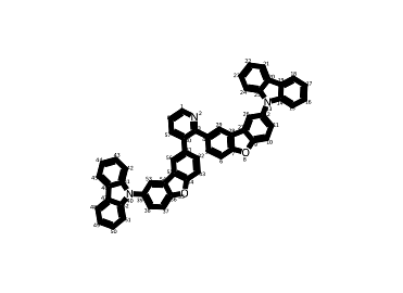 c1cnc(-c2ccc3oc4ccc(-n5c6ccccc6c6ccccc65)cc4c3c2)c(-c2ccc3oc4ccc(-n5c6ccccc6c6ccccc65)cc4c3c2)c1